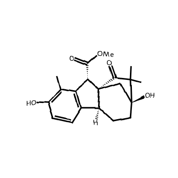 COC(=O)[C@H]1c2c(ccc(O)c2C)[C@@H]2CC[C@]3(O)C[C@@]21C(=O)C3(C)C